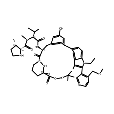 CCn1c(-c2cnccc2COC)c2c3cc(ccc31)-c1cc(O)cc(c1)C[C@H](NC(=O)[C@H](C(C)C)N(C)C(=O)[C@@H]1NCC[C@@H]1C)C(=O)N1CCC[C@H](N1)C(=O)OCC(C)(C)C2